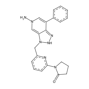 NN1C=C(c2ccccc2)C2=NNN(Cc3cccc(N4CCCC4=O)n3)C2=C1